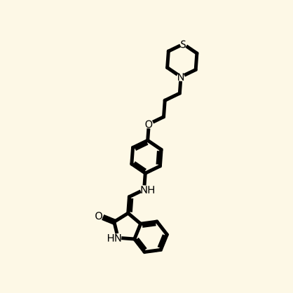 O=C1Nc2ccccc2/C1=C\Nc1ccc(OCCCN2CCSCC2)cc1